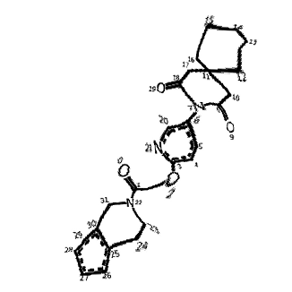 O=C(Oc1ccc(N2C(=O)CC3(CCCCC3)CC2=O)cn1)N1CCc2ccccc2C1